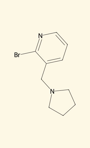 Brc1ncccc1CN1CCCC1